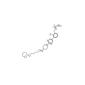 CC(C)(C)[Si](C)(C)OCc1cccc(-c2cnc(N3CCC(=NOCCCCOC4CCCCO4)CC3)nc2)c1F